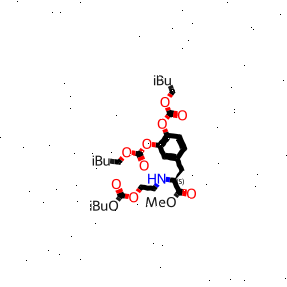 CCC(C)COC(=O)Oc1ccc(C[C@H](NCCOC(=O)OCC(C)C)C(=O)OC)cc1OC(=O)OCC(C)CC